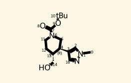 Cn1cc([C@@H]2CN(C(=O)OC(C)(C)C)CC[C@H]2CO)cn1